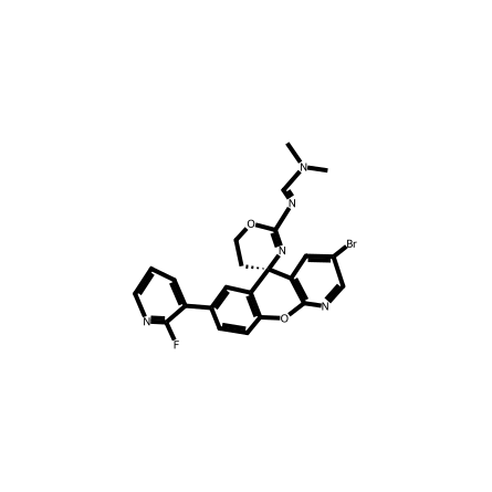 CN(C)/C=N/C1=N[C@]2(CCO1)c1cc(-c3cccnc3F)ccc1Oc1ncc(Br)cc12